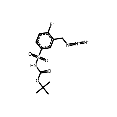 CC(C)(C)OC(=O)NS(=O)(=O)c1ccc(Br)c(CN=[N+]=[N-])c1